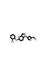 O=Cc1cc(-n2ncc3nc(Oc4ccccc4Cl)ccc32)cs1